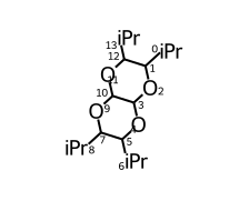 CC(C)C1OC2OC(C(C)C)C(C(C)C)OC2OC1C(C)C